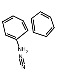 N#N.Nc1ccccc1.c1ccccc1